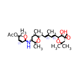 CC(=O)O[C@@H](C)/C=C\C(=O)N[C@@H]1C[C@H](C)[C@H](C/C=C(C)/C=C/C2OC(C)(C)C[C@@]3(CO3)[C@@H]2O)O[C@@H]1C